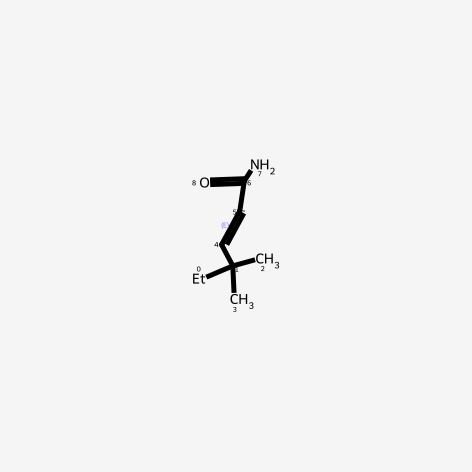 CCC(C)(C)/C=[C]/C(N)=O